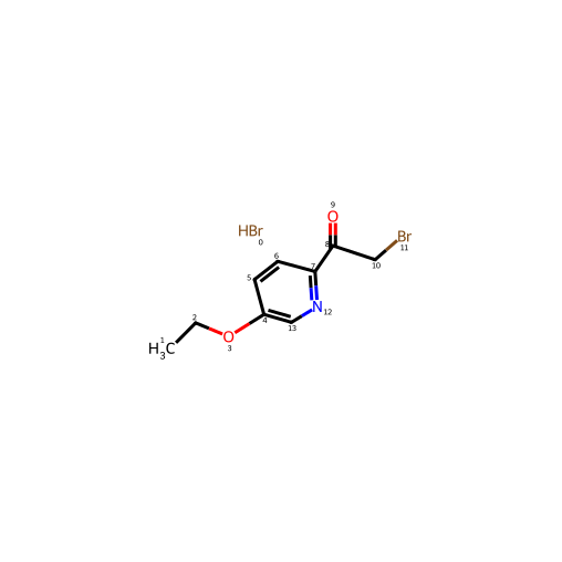 Br.CCOc1ccc(C(=O)CBr)nc1